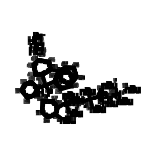 C=C(CCCC)C(P)(CCCC)CCCC.CCCC[N+](CCCC)(CCCC)CCCC.CCCCc1ccccc1C(N)(CCCC)CCCC.Cl.Cl.Cl.PC(c1ccccc1)(c1ccccc1)c1ccccc1-c1ccccc1.[Br-]